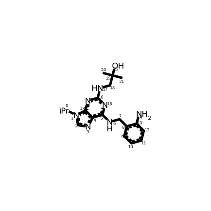 CC(C)n1cnc2c(NCc3ccccc3N)nc(NCC(C)(C)O)nc21